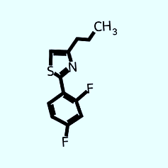 CCCc1csc(-c2ccc(F)cc2F)n1